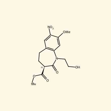 COc1cc2c(cc1[N+](=O)[O-])CC[C@H](C(=O)OC(C)(C)C)C(=O)N2CCO